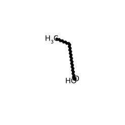 CCCCCCCC/C=C\CCCCCCCCCCCCCCCCCCCC(=O)O